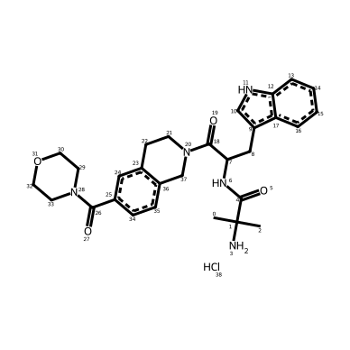 CC(C)(N)C(=O)NC(Cc1c[nH]c2ccccc12)C(=O)N1CCc2cc(C(=O)N3CCOCC3)ccc2C1.Cl